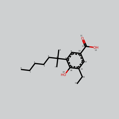 CCCCCC(C)(C)c1cc(C(=O)O)cc(CC)c1O